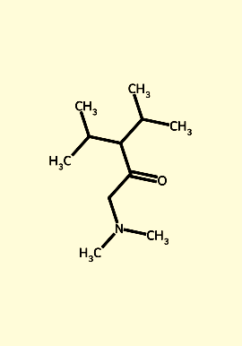 CC(C)C(C(=O)CN(C)C)C(C)C